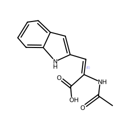 CC(=O)N/C(=C/c1cc2ccccc2[nH]1)C(=O)O